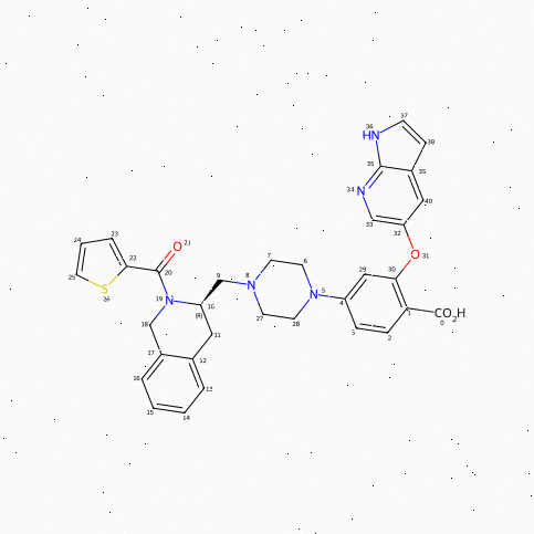 O=C(O)c1ccc(N2CCN(C[C@H]3Cc4ccccc4CN3C(=O)c3cccs3)CC2)cc1Oc1cnc2[nH]ccc2c1